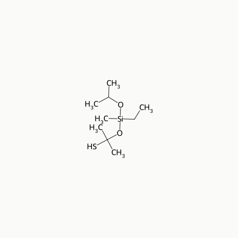 CC[Si](C)(OC(C)C)OC(C)(C)S